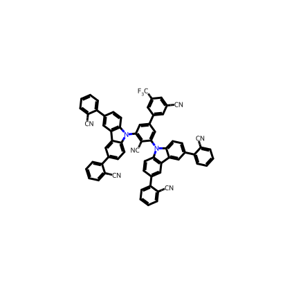 N#Cc1cc(-c2cc(-n3c4ccc(-c5ccccc5C#N)cc4c4cc(-c5ccccc5C#N)ccc43)c(C#N)c(-n3c4ccc(-c5ccccc5C#N)cc4c4cc(-c5ccccc5C#N)ccc43)c2)cc(C(F)(F)F)c1